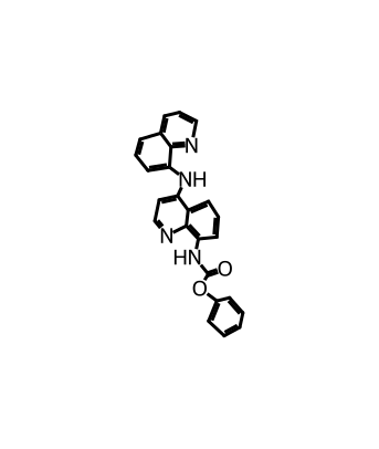 O=C(Nc1cccc2c(Nc3cccc4cccnc34)ccnc12)Oc1ccccc1